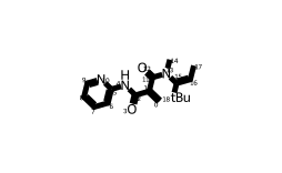 C=C(C(=O)Nc1ccccn1)C(=O)N(C)/C(=C\C)C(C)(C)C